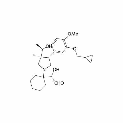 COc1ccc([C@@H]2CN(C3([C@H](O)C=O)CCCCC3)C[C@@]2(C)[C@@H](C)O)cc1OCC1CC1